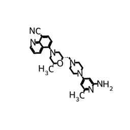 Cc1cc(N2CCN(C[C@H]3CN(c4ccc(C#N)c5ncccc45)C[C@@H](C)O3)CC2)cc(N)n1